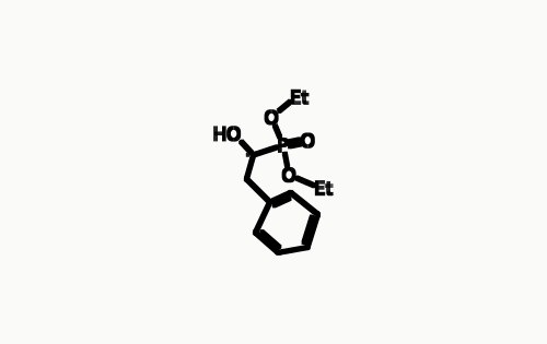 CCOP(=O)(OCC)[C](O)Cc1ccccc1